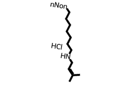 CCCCCCCCCCCCCCCCNCC=C(C)C.Cl